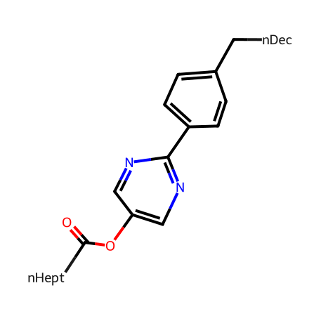 CCCCCCCCCCCc1ccc(-c2ncc(OC(=O)CCCCCCC)cn2)cc1